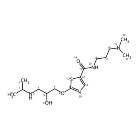 CC(C)NCC(O)COc1ncc(C(=O)NCCCN(C)C)s1